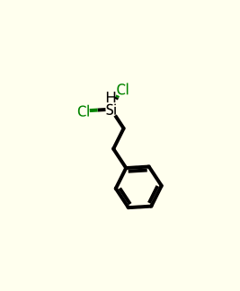 Cl[SiH](Cl)CCc1ccccc1